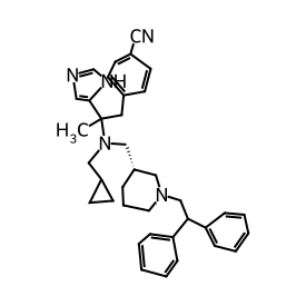 CC(Cc1ccc(C#N)cc1)(c1cnc[nH]1)N(CC1CC1)C[C@H]1CCCN(CC(c2ccccc2)c2ccccc2)C1